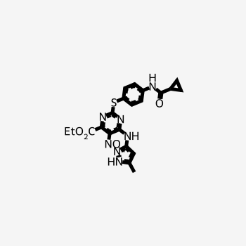 CCOC(=O)c1nc(Sc2ccc(NC(=O)C3CC3)cc2)nc(Nc2cc(C)[nH]n2)c1[N+](=O)[O-]